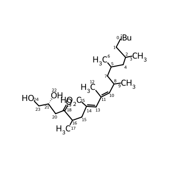 CCC(C)CC(C)CC(C)CC(C)/C=C(C)/C=C(/CC(C)C(=O)C[C@@H](O)CO)C(=O)O